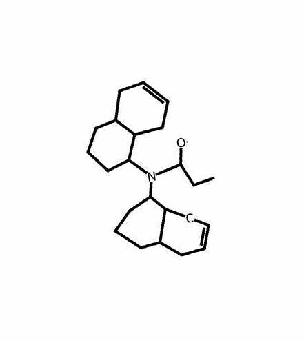 CCC([O])N(C1CCCC2CC=CCC21)C1CCCC2CC=CCC21